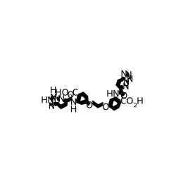 O=C(Nc1cc(OCCCOc2ccc(C(=O)O)c(NC(=O)c3ccc4nnnn4n3)c2)ccc1C(=O)O)C1=NN2NNN=C2C=C1